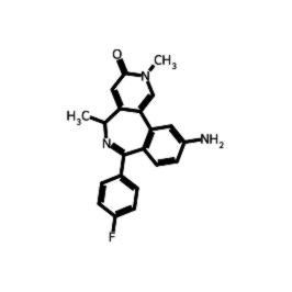 CC1N=C(c2ccc(F)cc2)c2ccc(N)cc2-c2cn(C)c(=O)cc21